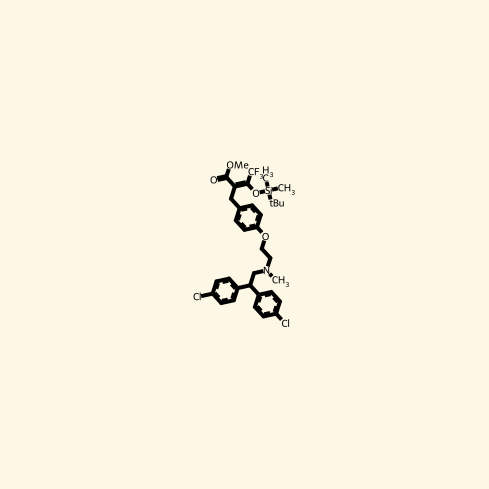 COC(=O)C(Cc1ccc(OCCN(C)CC(c2ccc(Cl)cc2)c2ccc(Cl)cc2)cc1)=C(O[Si](C)(C)C(C)(C)C)C(F)(F)F